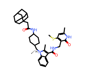 CSc1cc(C)[nH]c(=O)c1CNC(=O)c1c(C)n([C@H](C)C2CCC(NC(=O)CC34CC5CC(CC(C5)C3)C4)CC2)c2ccccc12